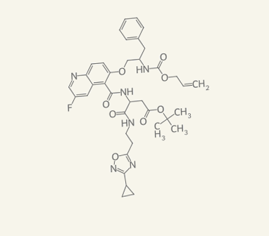 C=CCOC(=O)NC(COc1ccc2ncc(F)cc2c1C(=O)NC(CC(=O)OC(C)(C)C)C(=O)NCCc1nc(C2CC2)no1)Cc1ccccc1